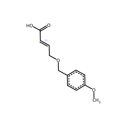 COc1ccc(COC/C=C/C(=O)O)cc1